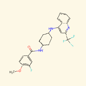 COc1ccc(C(=O)NC2CCC(Nc3cc(C(F)(F)F)nc4ccccc34)CC2)cc1F